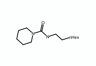 CCCCCCCC[N]C(=O)N1CCCCC1